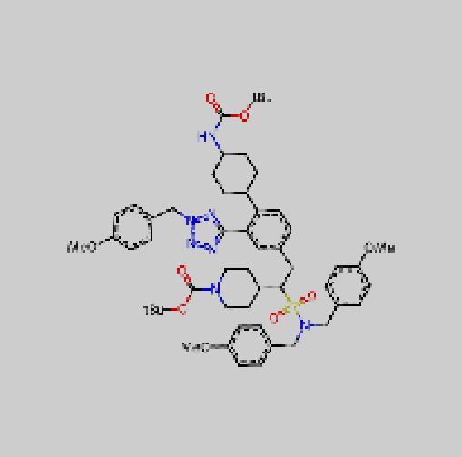 COc1ccc(CN(Cc2ccc(OC)cc2)S(=O)(=O)C(Cc2ccc(C3CCC(NC(=O)OC(C)(C)C)CC3)c(-c3nnn(Cc4ccc(OC)cc4)n3)c2)C2CCN(C(=O)OC(C)(C)C)CC2)cc1